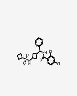 O=C(NC(c1ccccn1)C1CC(NS(=O)(=O)N2CCC2)C1)c1ccc(Cl)cc1Cl